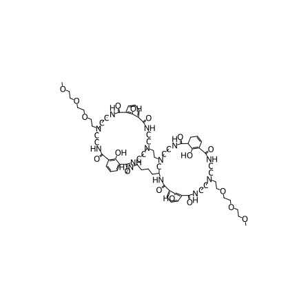 COCCOCCOCCN1CCNC(=O)c2cccc(c2O)C(=O)NCCN(CCN2CCNC(=O)C3CC=CC(=C3O)C(=O)NCCN(CCOCCOCCOC)CCNC(=O)c3cccc(c3O)C(=O)NC(CCCCN)C2)CCNC(=O)c2cccc(c2O)C(=O)NCC1